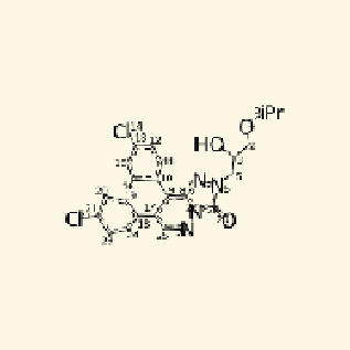 CC(C)OCC(O)Cn1nc2c(-c3ccc(Cl)cc3)c(-c3ccc(Cl)cc3)cnn2c1=O